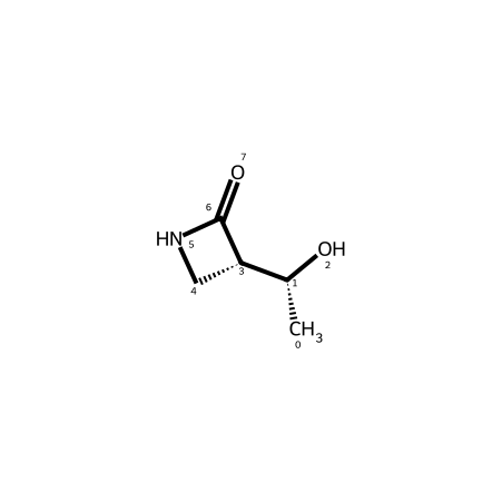 C[C@@H](O)[C@@H]1CNC1=O